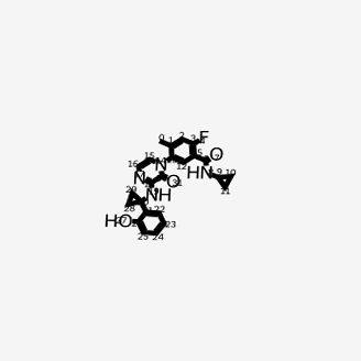 Cc1cc(F)c(C(=O)NC2CC2)cc1-n1ccnc(NC2(c3ccccc3O)CC2)c1=O